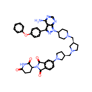 Nc1ncnc2c1c(-c1ccc(Oc3ccccc3)cc1)nn2C1CCN(C[C@H]2CCN(C[C@@H]3CCN(c4ccc5c(c4)C(=O)N(C4CCC(=O)NC4=O)C5=O)C3)C2)CC1